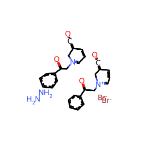 NN.O=C=C1C=CC=[N+](CC(=O)c2ccccc2)C1.O=C=C1C=CC=[N+](CC(=O)c2ccccc2)C1.[Br-].[Br-]